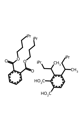 CC(C)CC(C)c1ccc(C(=O)O)c(C(=O)O)c1C(C)CC(C)C.CC(C)CCCOC(=O)c1ccccc1C(=O)OCCCC(C)C